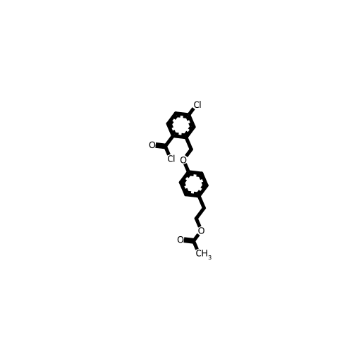 CC(=O)OCCc1ccc(OCc2cc(Cl)ccc2C(=O)Cl)cc1